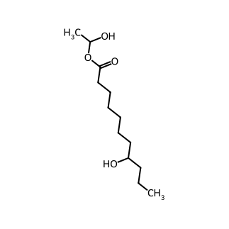 CCCC(O)CCCCCCC(=O)OC(C)O